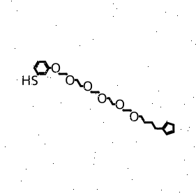 Sc1cccc(OCCOCCOCCOCCOCCOCCCCC2=CCC=C2)c1